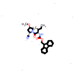 CC[C@H](C)[C@H](NC(=O)OCC1c2ccccc2-c2ccccc21)C(=O)N1C[C@H](OC)C[C@H]1C#N